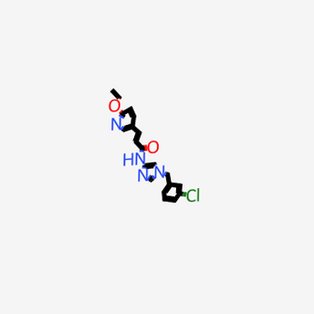 CCOc1ccc(/C=C/C(=O)Nc2cn(Cc3cccc(Cl)c3)cn2)cn1